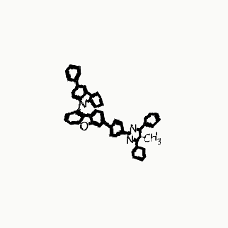 C[C@@H]1C(c2ccccc2)=NC(c2ccc(-c3ccc4c(c3)oc3cccc(-n5c6ccccc6c6cc(-c7ccccc7)ccc65)c34)cc2)=NC1c1ccccc1